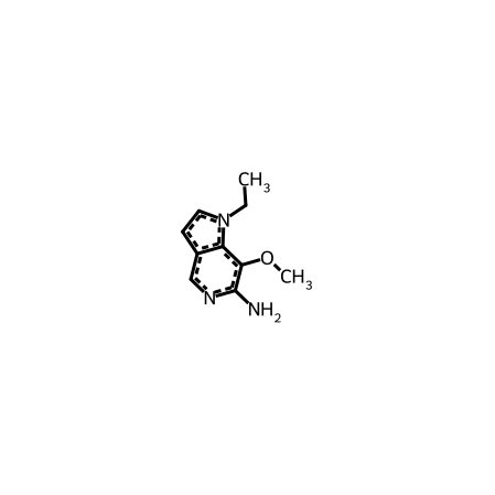 CCn1ccc2cnc(N)c(OC)c21